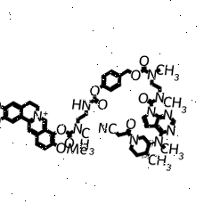 COc1ccc2cc3[n+](cc2c1OC(=O)N(C)CCNC(=O)Oc1ccc(COC(=O)N(C)CCN(C)C(=O)n2ccc4c(N(C)[C@@H]5CN(C(=O)CC#N)CC[C@@H]5C)ncnc42)cc1)CCc1cc2c(cc1-3)OCO2